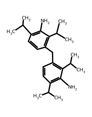 CC(C)c1ccc(Cc2ccc(C(C)C)c(N)c2C(C)C)c(C(C)C)c1N